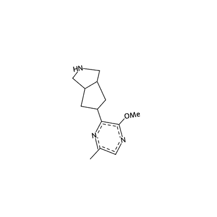 COc1ncc(C)nc1C1CC2CNCC2C1